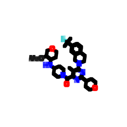 COC1COCCC1NC1CCN(C(=O)c2nc(C3CCOCC3)nc(N3CCc4ccc(C(C)(C)F)cc4C3)c2C)CC1